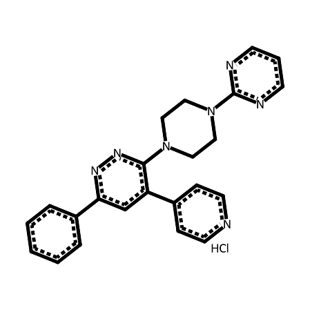 Cl.c1ccc(-c2cc(-c3ccncc3)c(N3CCN(c4ncccn4)CC3)nn2)cc1